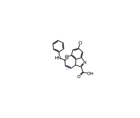 O=C(/C=C\C1C(C(=O)O)=Nc2cc(Cl)cc(Cl)c21)Nc1ccccc1